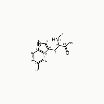 CNC(Cc1c[nH]c2ccc(C)cc12)C(C)=O